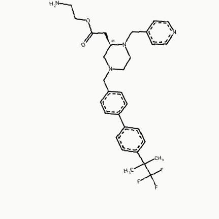 CC(C)(c1ccc(-c2ccc(CN3CCN(Cc4ccncc4)[C@H](CC(=O)OCCN)C3)cc2)cc1)C(F)(F)F